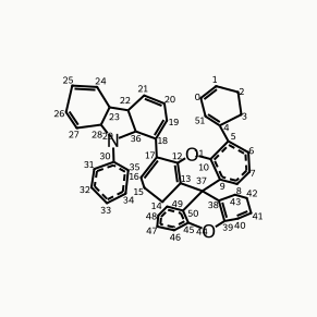 C1=CCCC(c2cccc3c2OC2=C(CCC=C2C2=CC=CC4C5C=CC=CC5N(c5ccccc5)C24)C32C3=C(C=CCC3)Oc3ccccc32)=C1